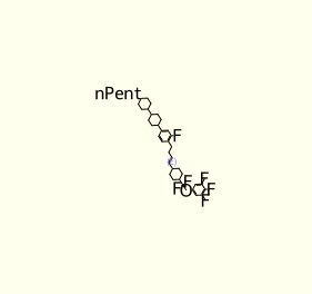 CCCCCC1CCC(C2CCC(c3ccc(CC/C=C/C4CCC(C(F)(F)Oc5cc(F)c(F)c(F)c5)CC4)c(F)c3)CC2)CC1